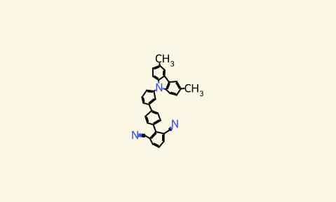 Cc1ccc2c(c1)c1cc(C)ccc1n2-c1cccc(-c2ccc(-c3c(C#N)cccc3C#N)cc2)c1